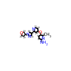 Cc1nc(N)ccc1Oc1ccnc(-c2cnn([C@@H]3CCOC3)c2)c1